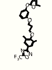 Cc1ccc(Oc2cccc(OCCCOc3c(C)cc(-c4noc(C(F)(F)F)n4)cc3C)c2)o1